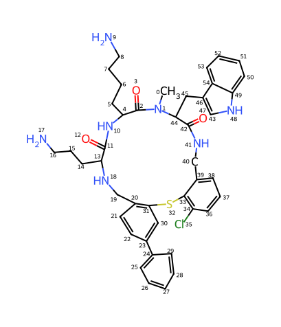 CN1C(=O)C(CCCCN)NC(=O)C(CCCN)NCc2ccc(-c3ccccc3)cc2Sc2c(Cl)cccc2CNC(=O)C1Cc1c[nH]c2ccccc12